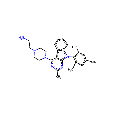 Cc1cc(C)c(-n2c3ccccc3c3c(N4CCN(CCN)CC4)nc(C)nc32)c(C)c1